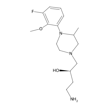 COc1c(F)cccc1N1CCN(C[C@H](O)CCN)CC1C